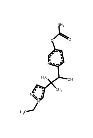 CCn1cc(C(C)(C)C(O)c2ccc(OC(N)=O)cn2)cn1